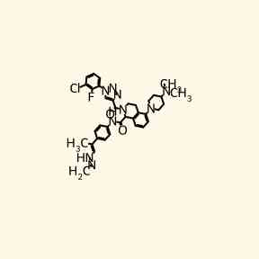 C=NN/C=C(\C)c1ccc(NC(=O)C2c3cccc(N4CCC(N(C)C)CC4)c3CCN2C(=O)c2cn(-c3cccc(Cl)c3F)nn2)cc1